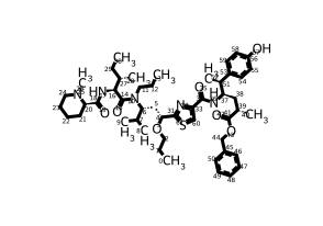 CCCO[C@H](C[C@H](C(C)C)N(CCC)C(=O)[C@@H](NC(=O)[C@H]1CCCCN1C)[C@@H](C)CC)c1nc(C(=O)N[C@H](C[C@H](C)C(=O)OCc2ccccc2)[C@@H](C)c2ccc(O)cc2)cs1